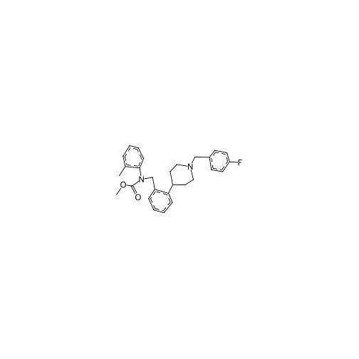 COC(=O)N(Cc1ccccc1C1CCN(Cc2ccc(F)cc2)CC1)c1ccccc1C